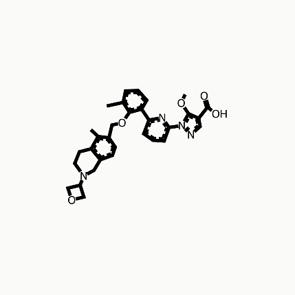 COc1c(C(=O)O)cnn1-c1cccc(-c2cccc(C)c2OCc2ccc3c(c2C)CCN(C2COC2)C3)n1